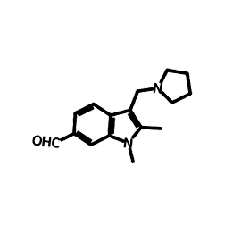 Cc1c(CN2CCCC2)c2ccc(C=O)cc2n1C